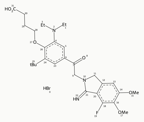 Br.CCN(CC)c1cc(C(=O)CN2Cc3cc(OC)c(OC)c(F)c3C2=N)cc(C(C)(C)C)c1OCCCC(=O)O